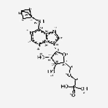 O=P(O)(O)COC[C@H]1O[C@@H](c2cnc3c(NC45CC(C4)C5)ncnn23)[C@H](O)[C@@H]1O